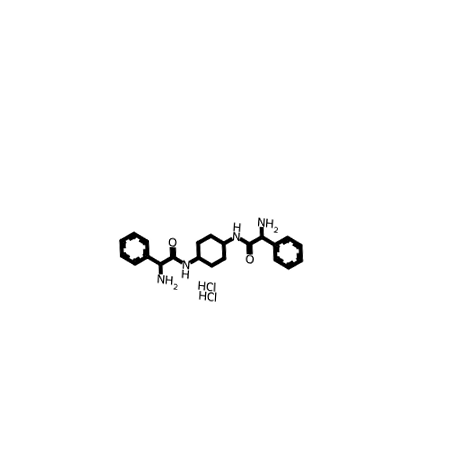 Cl.Cl.NC(C(=O)NC1CCC(NC(=O)C(N)c2ccccc2)CC1)c1ccccc1